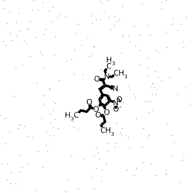 CCCC(=O)Oc1cc(/C=C(\C#N)C(=O)N(CC)CC)cc([N+](=O)[O-])c1OC(=O)CCC